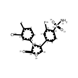 Cc1ccc(-n2c(-c3ccc(S(N)(=O)=O)c(F)c3)coc2=O)cc1Cl